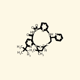 CC(C)(C)c1ccc2c(n1)N1C[C@@H](CCC(c3ccccn3)Nc3cccc(n3)S(=O)(=O)NC2=O)CC1(C)C